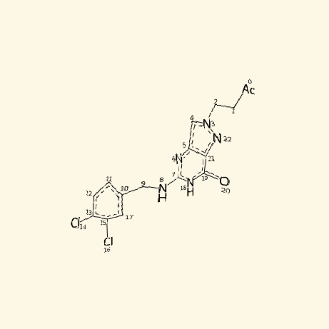 CC(=O)CCn1cc2nc(NCc3ccc(Cl)c(Cl)c3)[nH]c(=O)c2n1